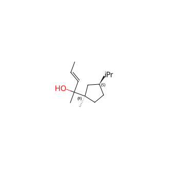 CC=CC(C)(O)[C@]1(C)CC[C@H](C(C)C)C1